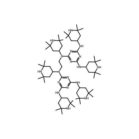 CC1(C)CC(Nc2nc(NC3CC(C)(C)NC(C)(C)C3)nc(N(CCN(c3nc(NC4CC(C)(C)NC(C)(C)C4)nc(NC4CC(C)(C)NC(C)(C)C4)n3)C3CC(C)(C)NC(C)(C)C3)C3CC(C)(C)NC(C)(C)C3)n2)CC(C)(C)N1